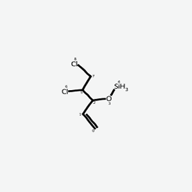 C=CC(O[SiH3])C(Cl)CCl